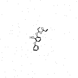 C=CC(=O)OC(CC)Oc1cccc(Oc2ccccc2)c1O